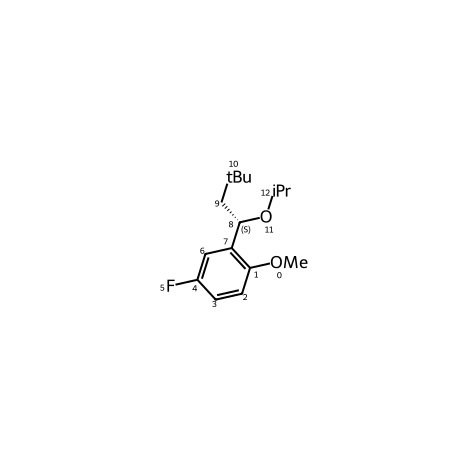 COc1ccc(F)cc1[C@H](CC(C)(C)C)OC(C)C